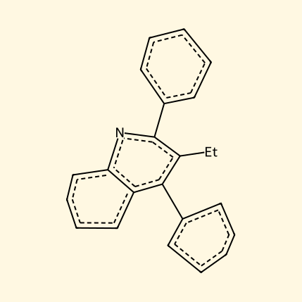 CCc1c(-c2ccccc2)nc2ccccc2c1-c1ccccc1